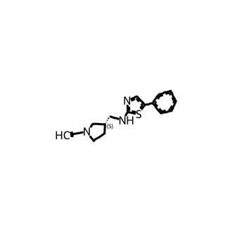 C#CN1CC[C@@H](CNc2ncc(-c3ccccc3)s2)C1